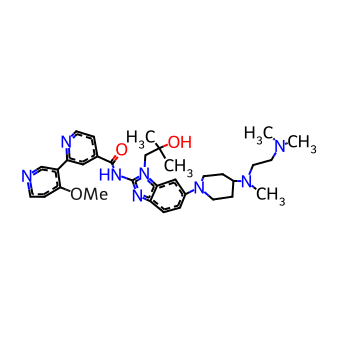 COc1ccncc1-c1cc(C(=O)Nc2nc3ccc(N4CCC(N(C)CCN(C)C)CC4)cc3n2CC(C)(C)O)ccn1